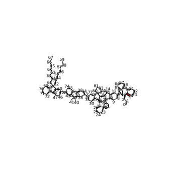 C=C/C=C(\C=C)N(c1ccc2c(c1)C(C)(C)c1c3c(c4c(oc5ccccc54)c1-2)-c1ccc(-c2ccc4c(c2)C(C)(C)c2cc(-c5ccc6c(c5)C(CCCCCCCC)(CCCCCCCC)c5ccccc5-6)ccc2-4)cc1C31CCCC1)c1ccccc1-c1ccccc1